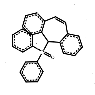 O=P(c1ccccc1)(c1ccccc1)C1c2ccccc2C=Cc2ccccc21